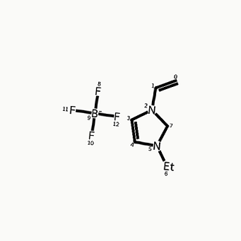 C=CN1C=CN(CC)C1.F[B-](F)(F)F